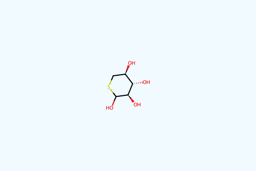 OC1SC[C@@H](O)[C@H](O)[C@H]1O